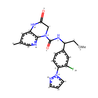 COCC(NC(=O)N1CC(=O)Nc2cc(C)cnc21)c1ccc(-n2cccn2)c(F)c1